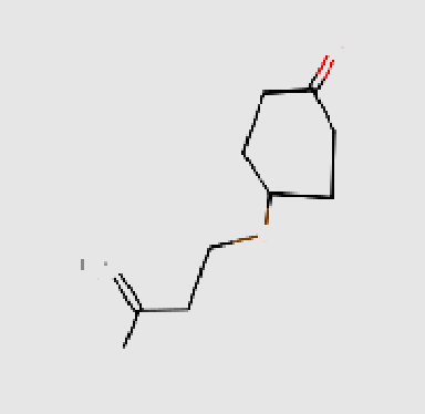 C=C(C)CCSC1CCC(=O)CC1